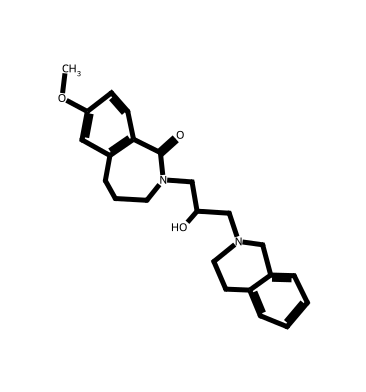 COc1ccc2c(c1)CCCN(CC(O)CN1CCc3ccccc3C1)C2=O